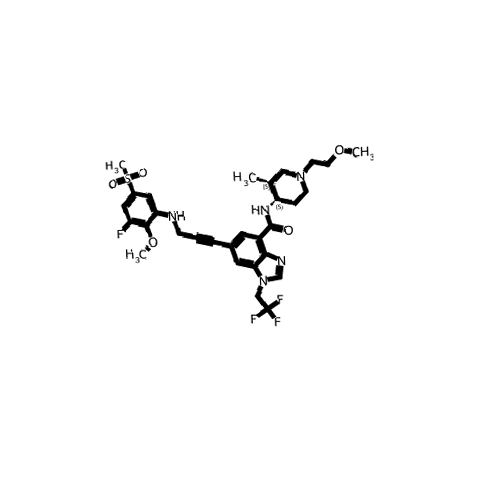 COCCN1CC[C@H](NC(=O)c2cc(C#CCNc3cc(S(C)(=O)=O)cc(F)c3OC)cc3c2ncn3CC(F)(F)F)[C@@H](C)C1